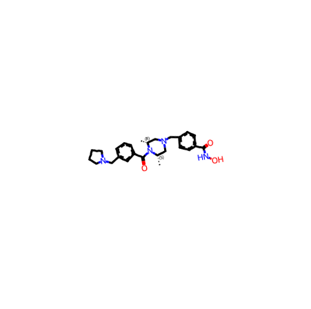 C[C@@H]1CN(Cc2ccc(C(=O)NO)cc2)C[C@H](C)N1C(=O)c1cccc(CN2CCCC2)c1